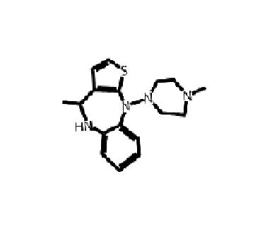 CC1Nc2ccccc2N(N2CCN(C)CC2)c2sccc21